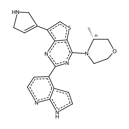 C[C@@H]1COCCN1c1nc(-c2ccnc3[nH]ccc23)nc2c(C3=CCNC3)csc12